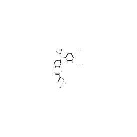 COc1cc(OC)cc(N(c2ccc3ncc(-c4cnn(C)c4)nc3c2)C2COC2)c1